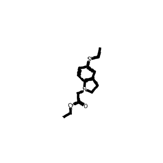 CCOC(=O)CN1CCc2cc(SCC)ccc21